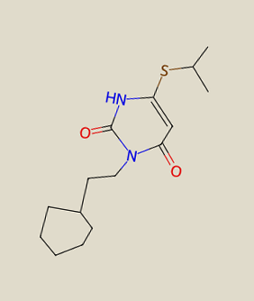 CC(C)Sc1cc(=O)n(CCC2CCCCC2)c(=O)[nH]1